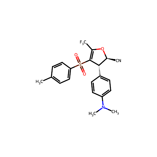 Cc1ccc(S(=O)(=O)C2=C(C(F)(F)F)O[C@@H](C#N)[C@@H]2c2ccc(N(C)C)cc2)cc1